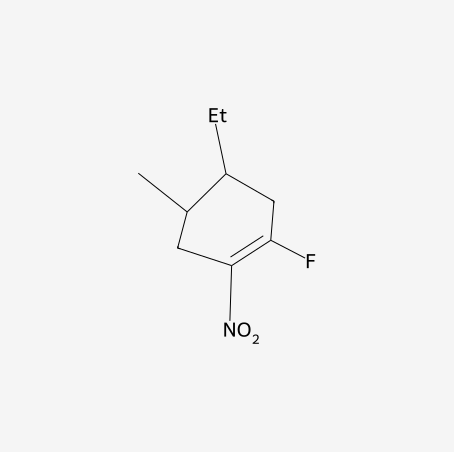 CCC1CC(F)=C([N+](=O)[O-])CC1C